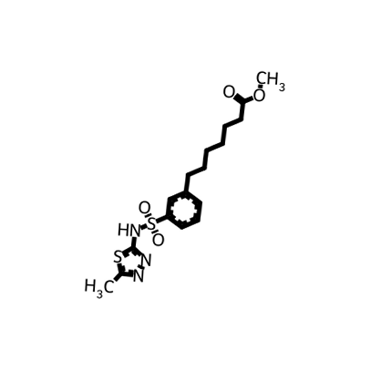 COC(=O)CCCCCCc1cccc(S(=O)(=O)Nc2nnc(C)s2)c1